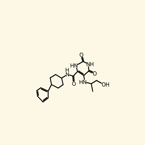 CC(CO)Nc1c(C(=O)NC2CCC(c3ccccc3)CC2)[nH]c(=O)[nH]c1=O